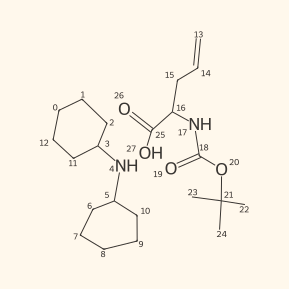 C1CCC(NC2CCCCC2)CC1.C=CCC(NC(=O)OC(C)(C)C)C(=O)O